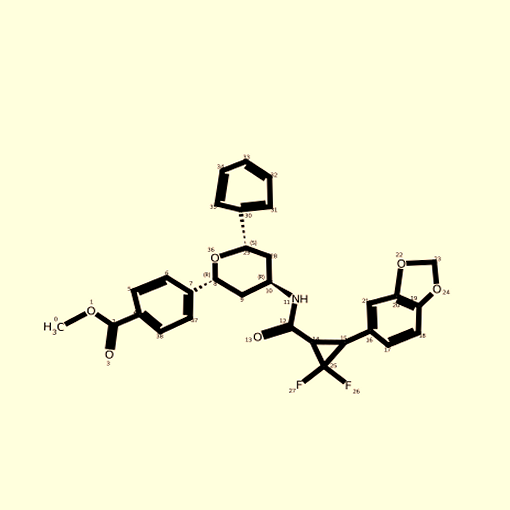 COC(=O)c1ccc([C@H]2C[C@H](NC(=O)C3C(c4ccc5c(c4)OCO5)C3(F)F)C[C@@H](c3ccccc3)O2)cc1